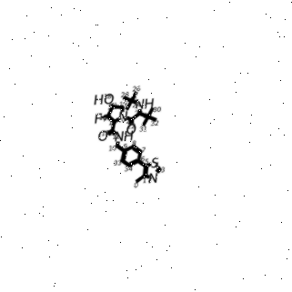 Cc1ncsc1-c1ccc(CNC(=O)C2[C@@H](F)[C@@H](O)CN2C(=O)C(NC(C)(C)C)C(C)(C)C)cc1